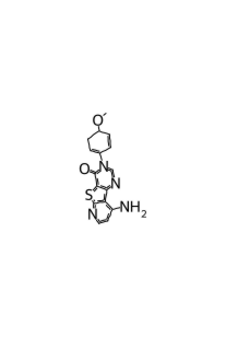 COC1C=CC(n2cnc3c(sc4nccc(N)c43)c2=O)=CC1